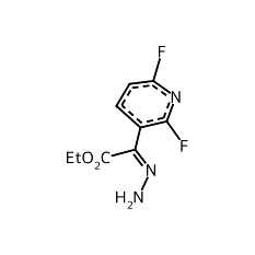 CCOC(=O)/C(=N\N)c1ccc(F)nc1F